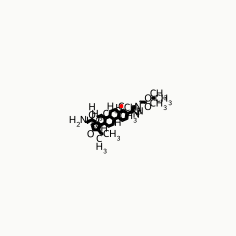 CC(C)C1=C2[C@H]3CC[C@@H]4[C@@]5(C)CC=C(c6cn(CC(=O)OC(C)(C)C)nn6)C(C)(C)[C@@H]5CC[C@@]4(C)[C@]3(C)CC[C@@]2([C@@H](O)CN)CC1=O